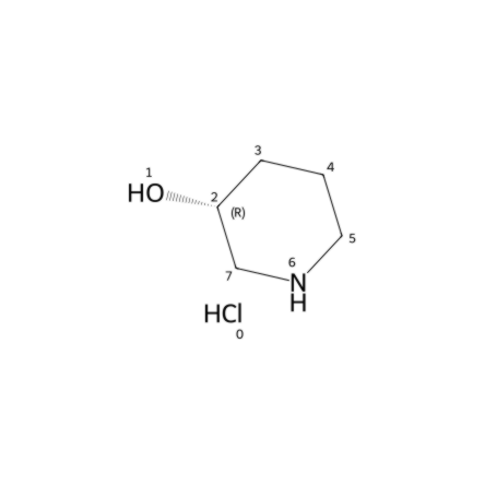 Cl.O[C@@H]1CCCNC1